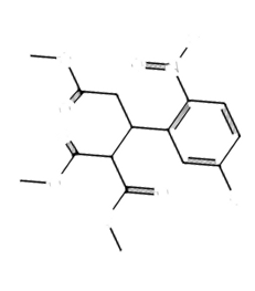 COC(=O)CC(c1cc(Cl)ccc1[N+](=O)[O-])C(C(=O)OC)C(=O)OC